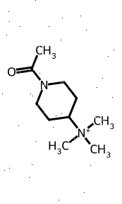 CC(=O)N1CCC([N+](C)(C)C)CC1